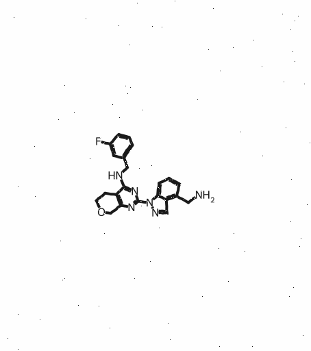 NCc1cccc2c1cnn2-c1nc2c(c(NCc3cccc(F)c3)n1)CCOC2